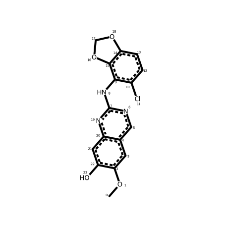 COc1cc2cnc(Nc3c(Cl)ccc4c3OCO4)nc2cc1O